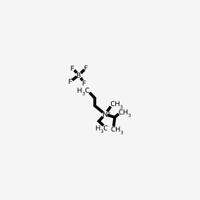 CCC[N+](C)(CC)C(C)C.F[B-](F)(F)F